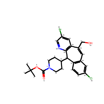 CC(C)(C)OC(=O)N1CCC(C2c3ccc(Cl)cc3C=C(CO)c3cc(Br)cnc32)CC1